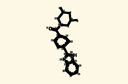 CC1CC(C)CN(C(=O)c2ccc(-c3nc4ccccc4[nH]3)cc2)C1